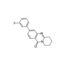 O=c1c2ccc(-c3cccc(F)c3)cc2nc2n1CCCC2